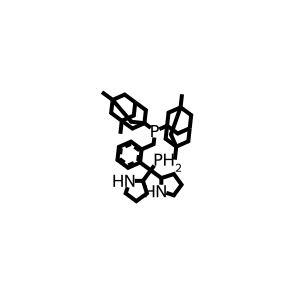 CC12CC3CC(C)(C1)CC(P(Cc1ccccc1C(P)(C1CCCN1)C1CCCN1)C14CC5CC(C)(CC(C)(C5)C1)C4)(C3)C2